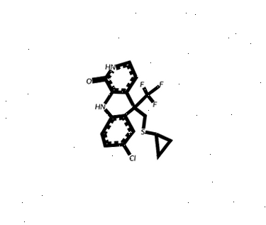 O=c1[nH]ccc2c1Nc1ccc(Cl)cc1C2(CSC1CC1)C(F)(F)F